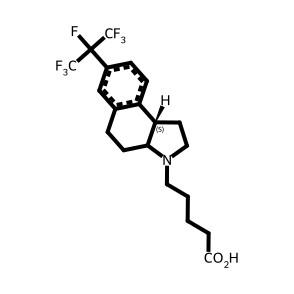 O=C(O)CCCCN1CC[C@H]2c3ccc(C(F)(C(F)(F)F)C(F)(F)F)cc3CCC21